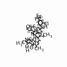 CCc1c(C=C2CC(C)N(C(=O)c3ncnc(C)c3O)C2)c(=O)n2nc(C3=C(F)COCC3)nc2n1CC(=O)Nc1ccc(C(F)(F)F)cc1Cl